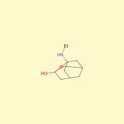 CCNC12CC3CC(CC(O)(C3)O1)C2